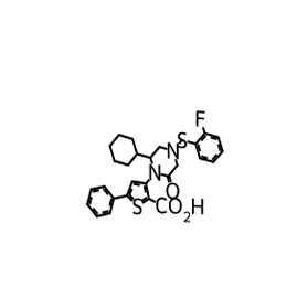 O=C(O)c1sc(-c2ccccc2)cc1N1C(=O)CN(Sc2ccccc2F)CC1C1CCCCC1